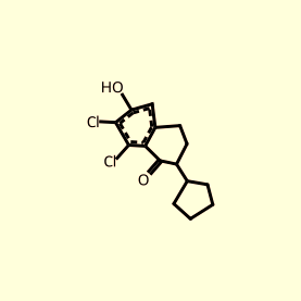 O=C1c2c(cc(O)c(Cl)c2Cl)CCC1C1CCCC1